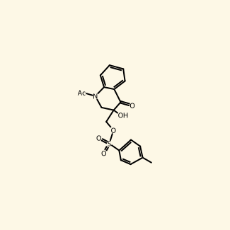 CC(=O)N1CC(O)(COS(=O)(=O)c2ccc(C)cc2)C(=O)c2ccccc21